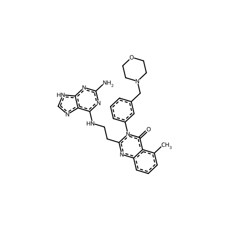 Cc1cccc2nc(CCNc3nc(N)nc4[nH]cnc34)n(-c3cccc(CN4CCOCC4)c3)c(=O)c12